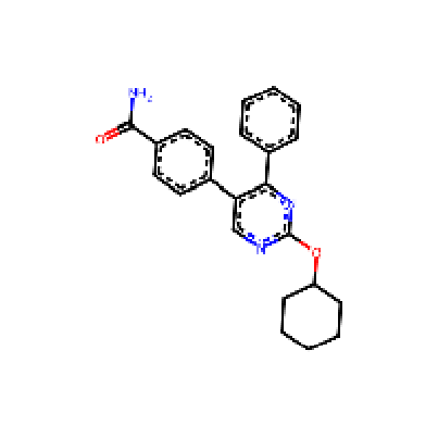 NC(=O)c1ccc(-c2cnc(OC3CCCCC3)nc2-c2ccccc2)cc1